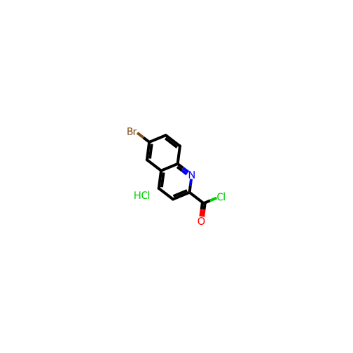 Cl.O=C(Cl)c1ccc2cc(Br)ccc2n1